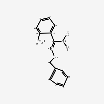 CCN(CC)C(=NSCc1ccccc1)c1ccccc1C(=O)O